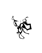 COCO[C@@H]1CC(C)(C)C(=O)[C@H](C)C23CCC(C)[C@]1(C)C2[C@H](OC)CC3